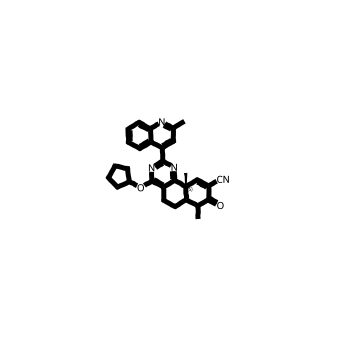 Cc1cc(-c2nc(OC3CCCC3)c3c(n2)[C@]2(C)C=C(C#N)C(=O)C(C)C2CC3)c2ccccc2n1